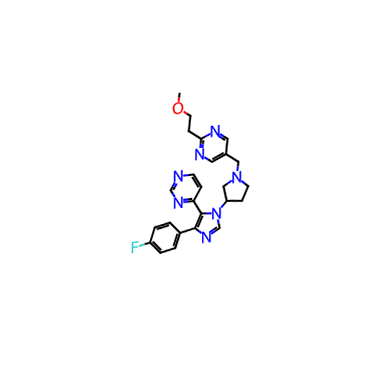 COCCc1ncc(CN2CCC(n3cnc(-c4ccc(F)cc4)c3-c3ccncn3)C2)cn1